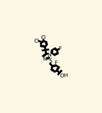 CC(C)(O)c1ccc(CSc2ncc(C(C)(C)c3ccc(Cl)c(Cl)c3)n2-c2ccc(F)cc2)c(F)c1